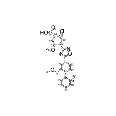 COCc1cc(-c2nc(-c3cc(Cl)c(C(=O)O)cc3OC)no2)ccc1-c1ccccc1C